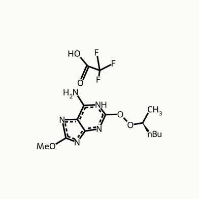 CCCC[C@H](C)OOc1nc2nc(OC)nc-2c(N)[nH]1.O=C(O)C(F)(F)F